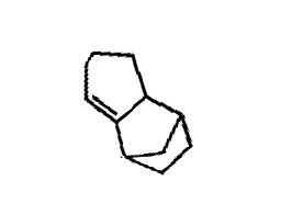 C1=C2[C]3CCC(C3)C2CC1